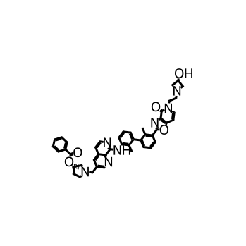 Cc1c(Nc2nccc3cc(CN4CC[C@@H](OC(=O)c5ccccc5)C4)cnc23)cccc1-c1cccc(-c2nc3c(=O)n(CCN4CC(O)C4)ccc3o2)c1C